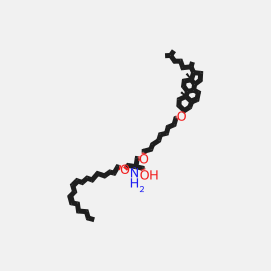 CCCCC/C=C\C/C=C\CCCCCCCCOCC(N)(CO)COCCCCCCCCCO[C@H]1CC[C@@]2(C)C(=CCC3C4CCC(C(C)CCCC(C)C)[C@@]4(C)CCC32)C1